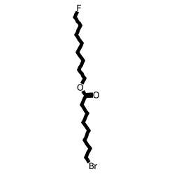 O=C(CCCCCCCBr)OCCCCCCCCF